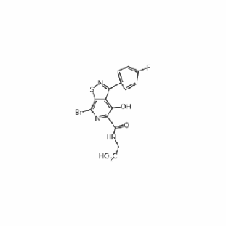 O=C(O)CNC(=O)c1nc(Br)c2snc(-c3ccc(F)cc3)c2c1O